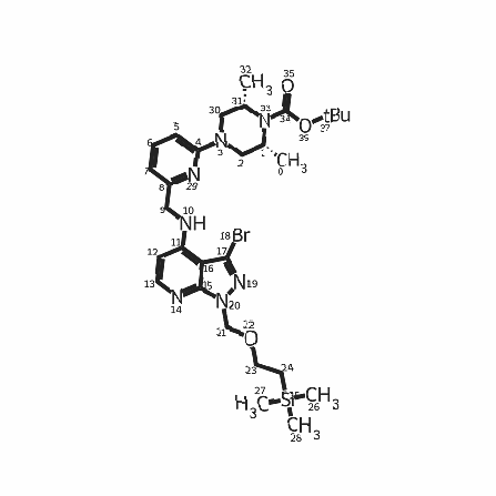 C[C@@H]1CN(c2cccc(CNc3ccnc4c3c(Br)nn4COCC[Si](C)(C)C)n2)C[C@H](C)N1C(=O)OC(C)(C)C